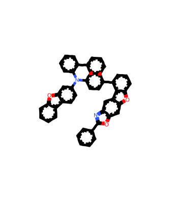 c1ccc(-c2nc3cc4c(cc3o2)oc2cccc(-c3ccc(N(c5ccc6c(c5)oc5ccccc56)c5ccccc5-c5ccccc5)cc3)c24)cc1